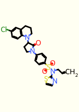 C=CCN(c1nccs1)S(=O)(=O)c1ccc(N2CCC(N3CCCc4cc(Cl)ccc43)C2=O)cc1